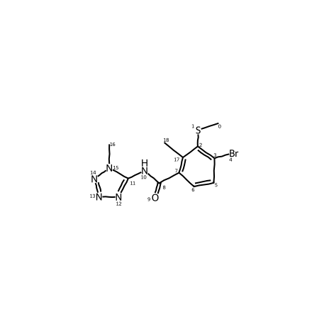 CSc1c(Br)ccc(C(=O)Nc2nnnn2C)c1C